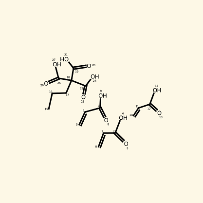 C=CC(=O)O.C=CC(=O)O.C=CC(=O)O.CCCC(C(=O)O)(C(=O)O)C(=O)O